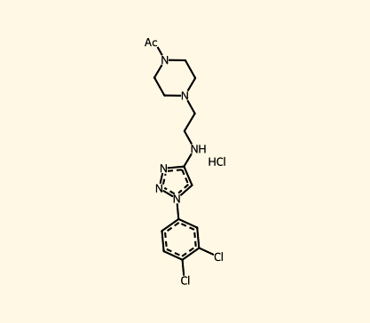 CC(=O)N1CCN(CCNc2cn(-c3ccc(Cl)c(Cl)c3)nn2)CC1.Cl